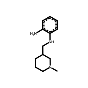 CN1CCCC(CNc2ccccc2N)C1